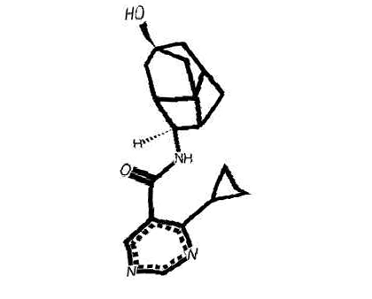 O=C(N[C@H]1C2CC3CC1C[C@@](O)(C3)C2)c1cncnc1C1CC1